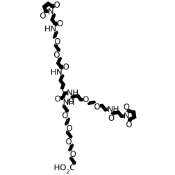 O=C(O)CCOCCOCCOCCOCCNC(=O)[C@H](CCCCNC(=O)CCOCCOCCNC(=O)CCN1C(=O)C=CC1=O)NC(=O)CCOCCOCCNC(=O)CCN1C(=O)C=CC1=O